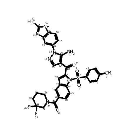 Cc1ccc(S(=O)(=O)n2c(C(=O)c3cnn(-c4ccc5[nH]c(C)nc5c4)c3N)cc3cc(C(=O)N4CCCC(F)(F)C4)ccc32)cc1